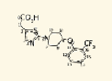 O=C(O)Cc1cnc(N2CCC(Oc3ccccc3C(F)(F)F)CC2)s1